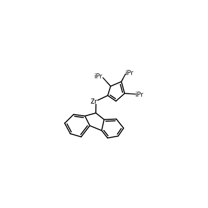 CC(C)C1=C(C(C)C)C(C(C)C)[C]([Zr][CH]2c3ccccc3-c3ccccc32)=C1